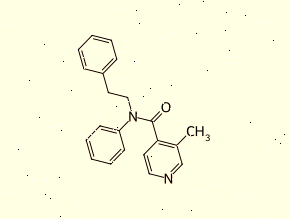 Cc1cnccc1C(=O)N(CCc1ccccc1)c1ccccc1